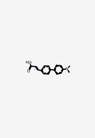 CN(C)c1ccc(-c2ccc(/C=C/C(=O)O)cc2)cc1